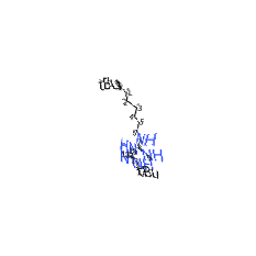 CC(C)(C)CCCCCCNC(=N)NC(=N)NC(C)(C)C